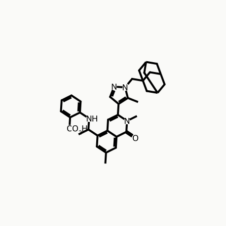 Cc1cc(C(C)Nc2ccccc2C(=O)O)c2cc(-c3cnn(CC45CC6CC(CC(C6)C4)C5)c3C)n(C)c(=O)c2c1